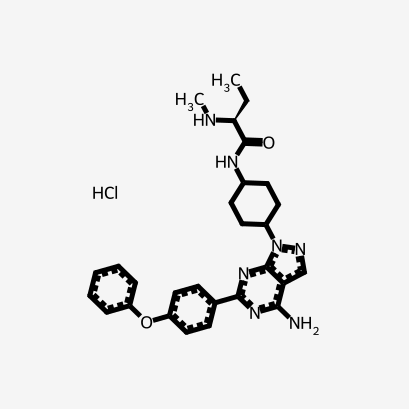 CC[C@H](NC)C(=O)NC1CCC(n2ncc3c(N)nc(-c4ccc(Oc5ccccc5)cc4)nc32)CC1.Cl